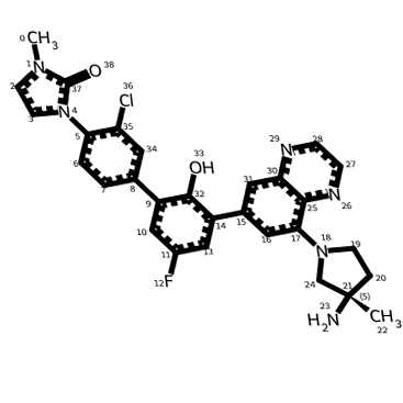 Cn1ccn(-c2ccc(-c3cc(F)cc(-c4cc(N5CC[C@](C)(N)C5)c5nccnc5c4)c3O)cc2Cl)c1=O